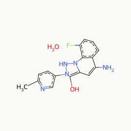 Cc1ccc(N2NN3C(=C2O)C=C(N)c2cccc(F)c23)cn1.O